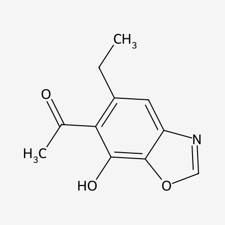 CCc1cc2ncoc2c(O)c1C(C)=O